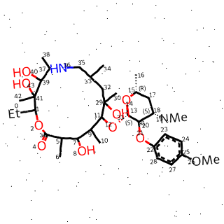 CCC1OC(=O)C(C)C(O)C(C)C(O[C@@H]2O[C@H](C)C[C@H](NC)[C@H]2Oc2ccc(OC)cc2)C(C)(O)CC(C)CNC(C)C(O)C1(C)O